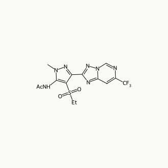 CCS(=O)(=O)c1c(-c2nc3cc(C(F)(F)F)ncn3n2)nn(C)c1NC(C)=O